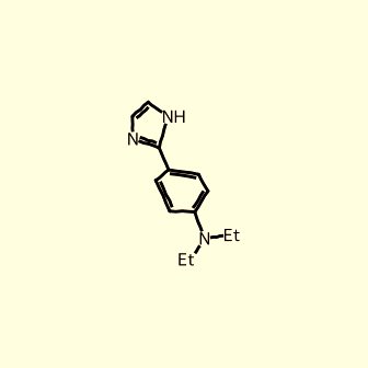 CCN(CC)c1ccc(-c2ncc[nH]2)cc1